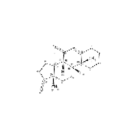 C[C@]12CCCCC1=CC(=O)[C@@H]1[C@H]2CC[C@]2(C)C(=O)CC[C@@H]12